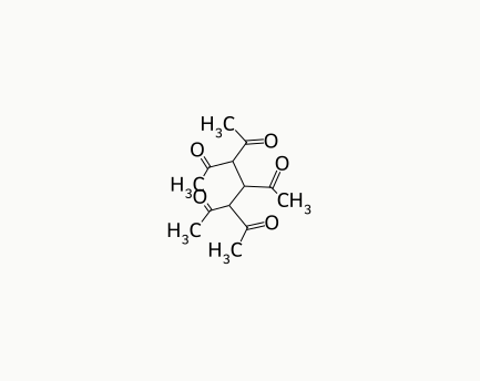 CC(=O)C(C(C)=O)C(C(C)=O)C(C(C)=O)C(C)=O